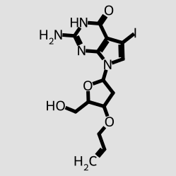 C=CCOC1CC(n2cc(I)c3c(=O)[nH]c(N)nc32)OC1CO